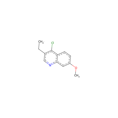 [CH2]Cc1cnc2cc(OC)ccc2c1Cl